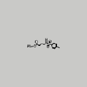 COC(=O)CCCNS(=O)(=O)c1ccc(C)cc1